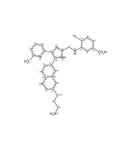 Cc1cccc(-c2nc(CNc3cc(C(=O)O)ccc3F)[nH]c2-c2ccc3ncc(OCCN)cc3c2)n1